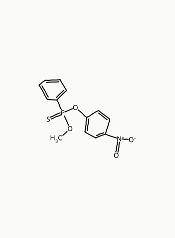 COP(=S)(Oc1ccc([N+](=O)[O-])cc1)c1ccccc1